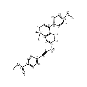 COC(=O)c1ccc(C#C[Se]c2ccc3c(c2)C(C)(C)CC=C3c2ccc(OC)cc2)cc1